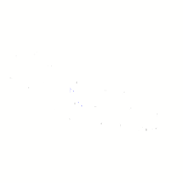 CCCCCC(C)(C)c1ccc(N2CCC(c3ccccc3)=N2)cc1